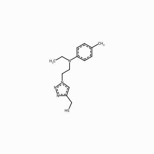 CCN(CCn1cc(CS)nn1)c1ccc(C)cc1